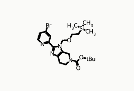 CC(C)(C)OC(=O)N1CCc2nc(-c3cc(Br)ccn3)n(COCC[Si](C)(C)C)c2C1